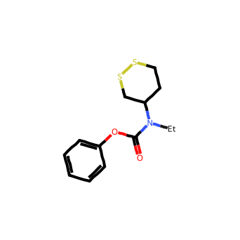 CCN(C(=O)Oc1ccccc1)C1CCSSC1